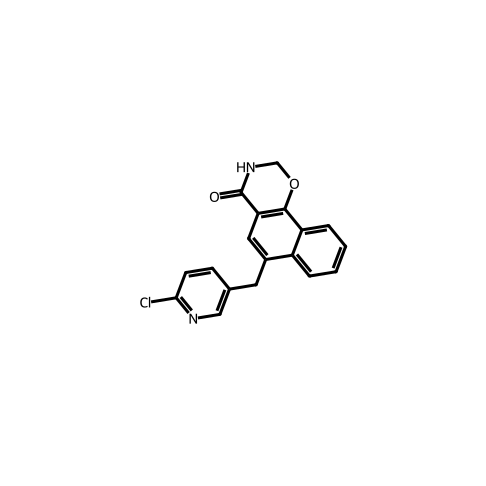 O=C1NCOc2c1cc(Cc1ccc(Cl)nc1)c1ccccc21